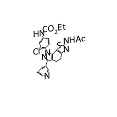 CCOC(=O)Nc1ccc(-n2nc(-c3cccnc3)c3c2-c2sc(NC(C)=O)nc2CC3)c(Cl)c1